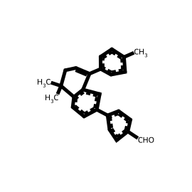 Cc1ccc(C2=CCC(C)(C)c3ccc(-c4ccc(C=O)cc4)cc32)cc1